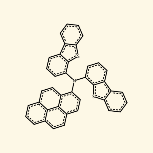 c1cc2ccc3ccc(N(c4cccc5c4sc4ccccc45)c4cccc5c4sc4ccccc45)c4ccc(c1)c2c34